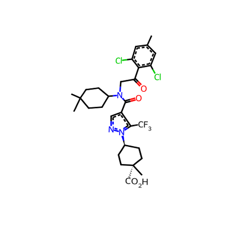 Cc1cc(Cl)c(C(=O)CN(C(=O)c2cnn([C@H]3CC[C@](C)(C(=O)O)CC3)c2C(F)(F)F)C2CCC(C)(C)CC2)c(Cl)c1